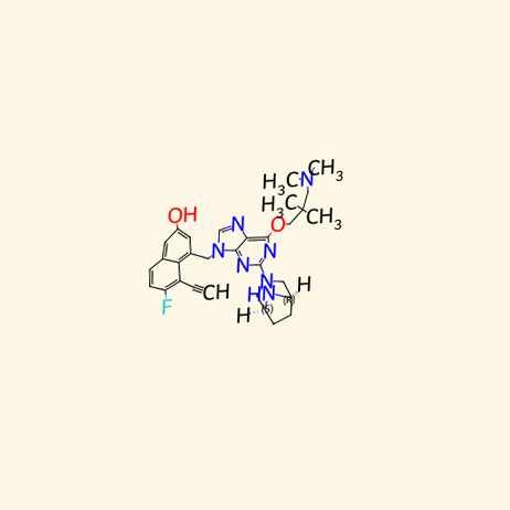 C#Cc1c(F)ccc2cc(O)cc(Cn3cnc4c(OCC(C)(C)CN(C)C)nc(N5C[C@H]6CC[C@@H](C5)N6)nc43)c12